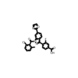 Cc1cccc(Cl)c1C(=O)n1nc(-c2ccc(C(=O)O)cc2F)c2ccc(-c3ncco3)cc21